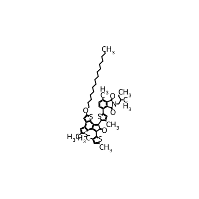 CCCCCCCCCCCCCCCCOc1cc2c(s1)c1c(c3sc(C)cc32)=C(c2sc(C)cc2C)C(=O)C=1c1sc(-c2ccc(C)c3c2C(=O)N(CC(C)CC)C3=O)cc1C